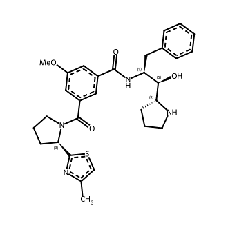 COc1cc(C(=O)N[C@@H](Cc2ccccc2)[C@@H](O)[C@H]2CCCN2)cc(C(=O)N2CCC[C@@H]2c2nc(C)cs2)c1